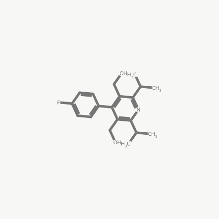 CC(C)c1nc(C(C)C)c(CO)c(-c2ccc(F)cc2)c1CO